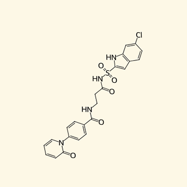 O=C(CCNC(=O)c1ccc(-n2ccccc2=O)cc1)NS(=O)(=O)c1cc2ccc(Cl)cc2[nH]1